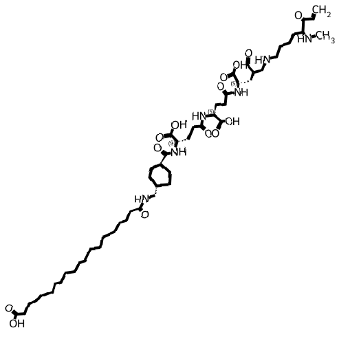 C=CC(=O)C(CCCCNCC(C=O)C[C@H](NC(=O)CC[C@H](NC(=O)CC[C@H](NC(=O)[C@H]1CC[C@H](CNC(=O)CCCCCCCCCCCCCCCCCCC(=O)O)CC1)C(=O)O)C(=O)O)C(=O)O)NC